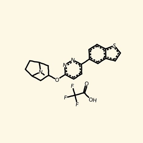 CN1C2CCC1CC(Oc1ccc(-c3ccc4sccc4c3)nn1)C2.O=C(O)C(F)(F)F